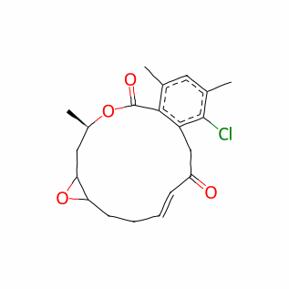 Cc1cc(C)c2c(c1Cl)CC(=O)/C=C/CCC1OC1C[C@@H](C)OC2=O